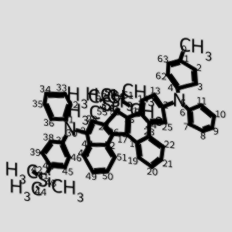 Cc1ccc(N(c2ccccc2)c2ccc3c4c(c5ccccc5c3c2)-c2c(cc(N(c3ccccc3)c3ccc([Si](C)(C)C)cc3)c3ccccc23)C4([Si](C)(C)C)[Si](C)(C)C)cc1